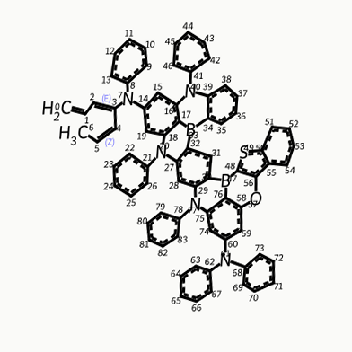 C=C/C=C(\C=C/C)N(c1ccccc1)c1cc2c3c(c1)N(c1ccccc1)c1cc4c(cc1B3c1ccccc1N2c1ccccc1)B1c2sc3ccccc3c2Oc2cc(N(c3ccccc3)c3ccccc3)cc(c21)N4c1ccccc1